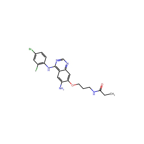 CCC(=O)NCCCOc1cc2ncnc(Nc3ccc(Br)cc3F)c2cc1N